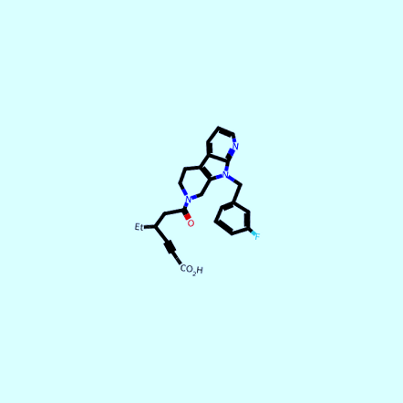 CCC(C#CC(=O)O)CC(=O)N1CCc2c(n(Cc3cccc(F)c3)c3ncccc23)C1